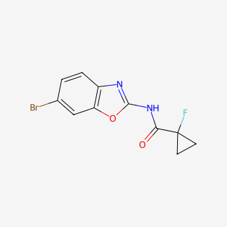 O=C(Nc1nc2ccc(Br)cc2o1)C1(F)CC1